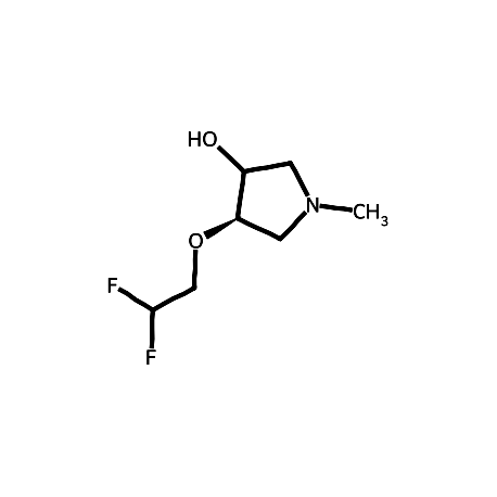 CN1CC(O)[C@H](OCC(F)F)C1